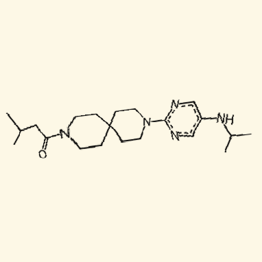 CC(C)CC(=O)N1CCC2(CC1)CCN(c1ncc(NC(C)C)cn1)CC2